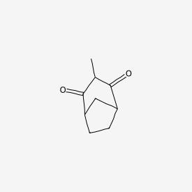 CC1C(=O)C2CCC(C2)C1=O